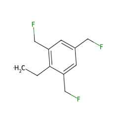 [CH2]Cc1c(CF)cc(CF)cc1CF